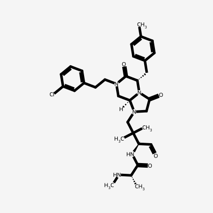 CN[C@@H](C)C(=O)N[C@H](C=O)C(C)(C)CN1CC(=O)N2[C@@H]1CN(CCc1cccc(Cl)c1)C(=O)[C@@H]2Cc1ccc(C)cc1